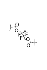 C=C(C)C(=O)OCC(F)(F)C(F)(F)COC(=O)C(C)(C)C